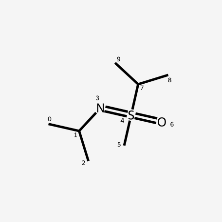 CC(C)N=S(C)(=O)C(C)C